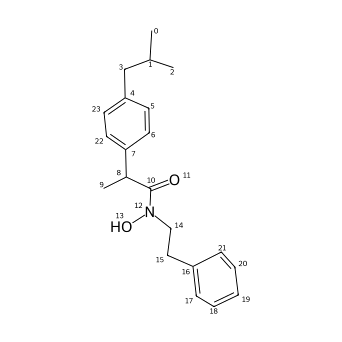 CC(C)Cc1ccc(C(C)C(=O)N(O)CCc2ccccc2)cc1